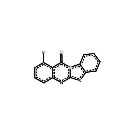 O=c1c2c(Br)cccc2nc2sc3ccccc3n12